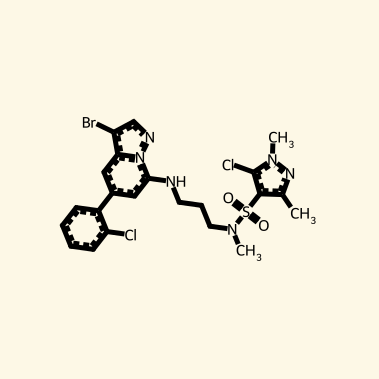 Cc1nn(C)c(Cl)c1S(=O)(=O)N(C)CCCNc1cc(-c2ccccc2Cl)cc2c(Br)cnn12